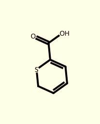 O=C(O)C1=CC=CCS1